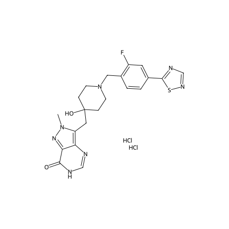 Cl.Cl.Cn1nc2c(=O)[nH]cnc2c1CC1(O)CCN(Cc2ccc(-c3ncns3)cc2F)CC1